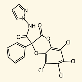 O=C(Nn1cccn1)C1(c2ccccc2)Oc2c(Cl)c(Cl)c(Cl)c(Cl)c2OC1=O